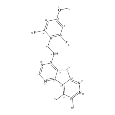 COc1cc(F)c(CNc2ncnc3c2sc2nnc(C)c(C)c23)c(F)c1